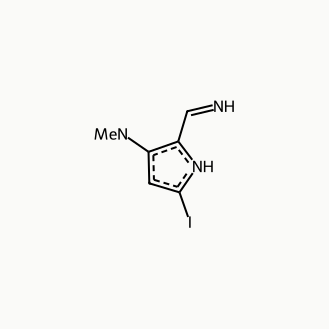 CNc1cc(I)[nH]c1C=N